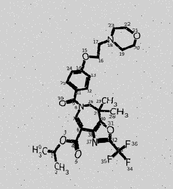 CC(C)OC(=O)C1=CN(C(=O)c2ccc(OCCN3CCOCC3)cc2)CC(C)(C)c2oc(C(F)(F)F)nc21